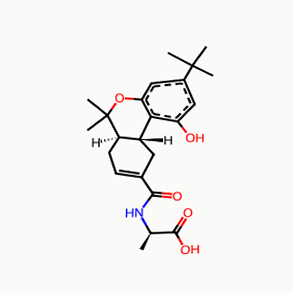 C[C@@H](NC(=O)C1=CC[C@@H]2[C@@H](C1)c1c(O)cc(C(C)(C)C)cc1OC2(C)C)C(=O)O